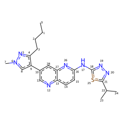 CCCCc1nn(C)cc1-c1cnc2ccc(Nc3nnc(C(C)C)s3)nc2c1